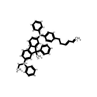 C=C/C=C/CCc1ccc(N(c2ccccc2)c2ccc3c(c2)C(C)(c2ccccc2)c2cc(N(CC)c4ccccc4)ccc2-3)cc1